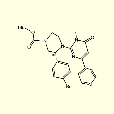 Cn1c(N2CCN(C(=O)OC(C)(C)C)C[C@H]2c2ccc(Br)cc2)nc(-c2ccncc2)cc1=O